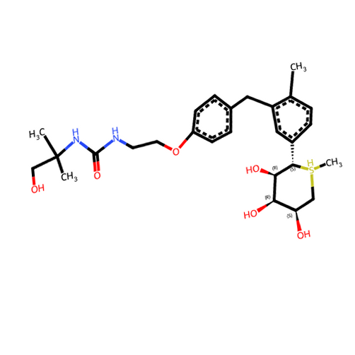 Cc1ccc([C@H]2[C@H](O)[C@H](O)[C@H](O)C[SH]2C)cc1Cc1ccc(OCCNC(=O)NC(C)(C)CO)cc1